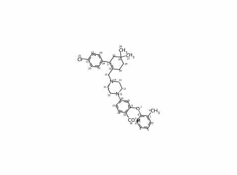 Cc1ccccc1Oc1cc(N2CCN(CC3=C(c4ccc(Cl)cc4)CC(C)(C)CC3)CC2)ccc1C(=O)O